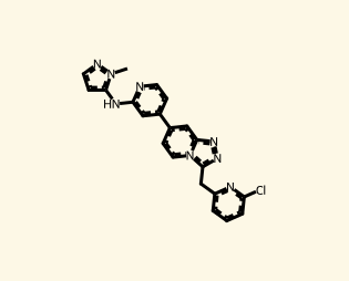 Cn1nccc1Nc1cc(-c2ccn3c(Cc4cccc(Cl)n4)nnc3c2)ccn1